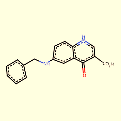 O=C(O)c1c[nH]c2ccc(NCc3ccccc3)cc2c1=O